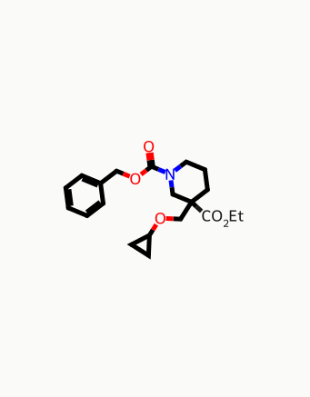 CCOC(=O)C1(COC2CC2)CCCN(C(=O)OCc2ccccc2)C1